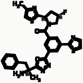 Cc1csc([C@H]2C[C@H](F)CN2C(=O)c2cc(-c3nnc([C@@](C)(N)Cc4ccccc4)o3)cc(-c3nccs3)c2)n1